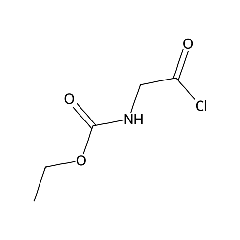 CCOC(=O)NCC(=O)Cl